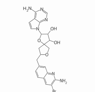 Nc1nc2cc(CC3CC4(CO3)OC(n3ccc5c(N)ncnc53)C(O)C4O)ccc2cc1Br